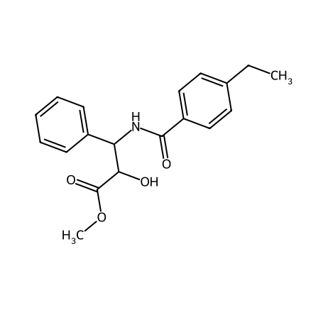 CCc1ccc(C(=O)NC(c2ccccc2)C(O)C(=O)OC)cc1